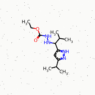 CCOC(=O)NNC(c1cc(C(C)C)n[nH]1)C(C)C